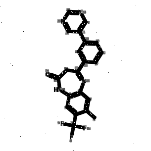 Cc1cc2c(cc1C(F)(F)F)NC(=O)CC(c1cccc(-c3cncnc3)c1)=N2